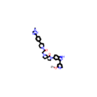 CC(C)Oc1cc(-c2n[nH]c3ccc(N4CC[C@]5(CCN(CC(=O)N6CC=C(c7ccc(-c8ncn(C)n8)cc7)CC6)C5)C4=O)cc23)ccn1